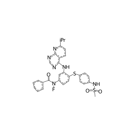 CC(C)c1ccc2c(Nc3cc(N(F)C(=O)c4ccccc4)ccc3Sc3ccc(NS(C)(=O)=O)cc3)ncnc2n1